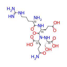 N=C(N)NCCC[C@H](N)C(=O)N[C@@H](CCC(=O)O)C(=O)N(N[C@@H](CO)C(=O)O)[C@@H](CCC(N)=O)C(=O)O